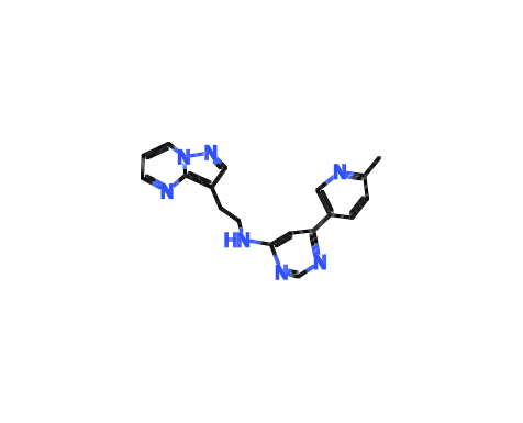 Cc1ccc(-c2cc(NCCc3cnn4cccnc34)ncn2)cn1